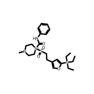 CC[Si](CC)(CC)c1cc(CCS(=O)(=O)[N+]2(C(=O)Nc3ccccc3)CCN(C)CC2)co1